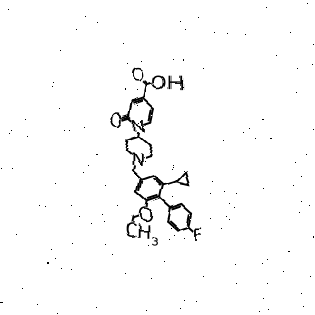 CCOc1cc(CN2CCC(n3ccc(C(=O)O)cc3=O)CC2)cc(C2CC2)c1-c1ccc(F)cc1